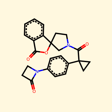 O=C1OC2(CCN(C(=O)C3(c4ccc(N5CCC5=O)cc4)CC3)C2)c2ccccc21